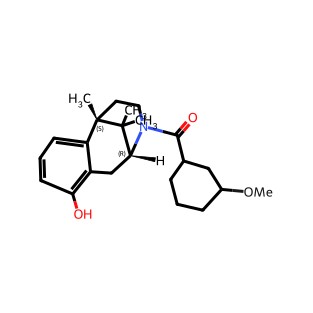 COC1CCCC(C(=O)N2CC[C@@]3(C)c4cccc(O)c4C[C@@H]2C3(C)C)C1